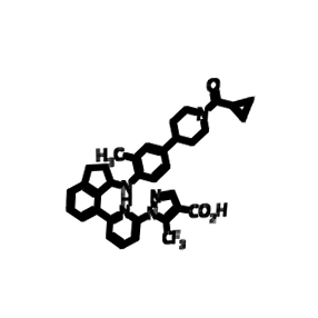 Cc1cc(C2CCN(C(=O)C3CC3)CC2)ccc1NC1CCc2cccc(-c3cccc(-n4ncc(C(=O)O)c4C(F)(F)F)n3)c21